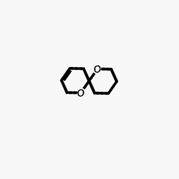 C1=CCC2(CCCCO2)OC1